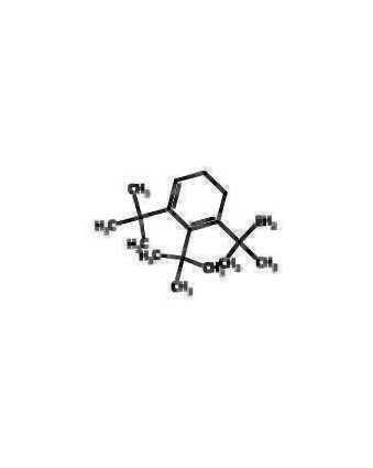 BC(C)(C)C1=C(C(C)(C)C)C(C(C)(C)C)=CCC1